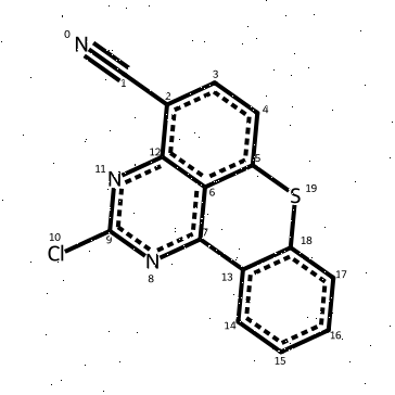 N#Cc1ccc2c3c(nc(Cl)nc13)-c1ccccc1S2